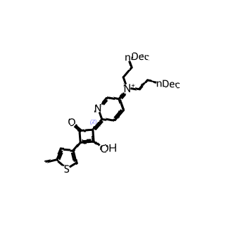 CCCCCCCCCCCC[N+](CCCCCCCCCCCC)=C1C=C/C(=C2/C(=O)C(c3csc(C)c3)=C2O)N=C1